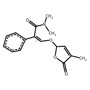 CC1=CC(O/C=C(\C(=O)N(C)C)c2ccccc2)OC1=O